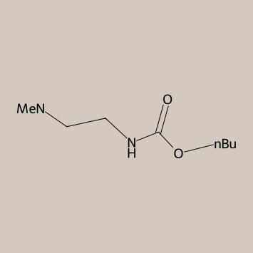 CCCCOC(=O)NCCNC